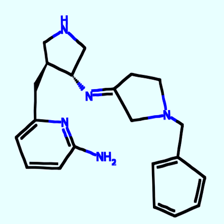 Nc1cccc(C[C@H]2CNC[C@@H]2/N=C2\CCN(Cc3ccccc3)C2)n1